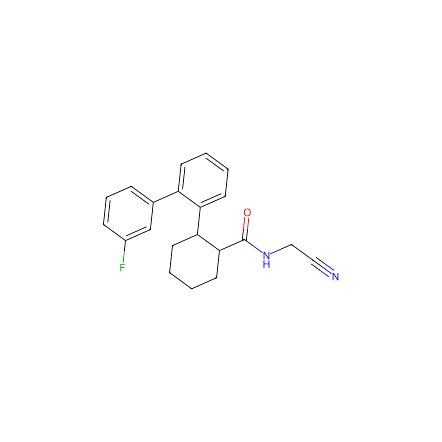 N#CCNC(=O)C1CCCCC1c1ccccc1-c1cccc(F)c1